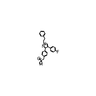 O=[SH](=O)Cc1ccc(-c2nn(CCc3ccccc3)cc2-c2ccc(F)cc2)cc1